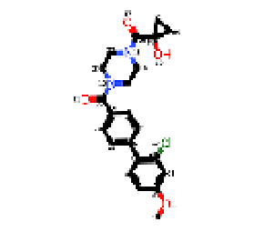 COc1ccc(-c2ccc(C(=O)N3CCN(C(=O)C4(O)CC4)CC3)cc2)c(Cl)c1